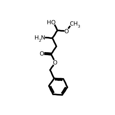 COC(O)C(N)CC(=O)OCc1ccccc1